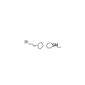 CCC[SiH]1CCC([C@H]2CC[C@H](CCCBr)CC2)CC1